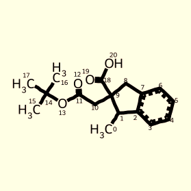 CC1c2ccccc2CC1(CC(=O)OC(C)(C)C)C(=O)O